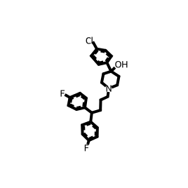 OC1(c2ccc(Cl)cc2)CCN(CCCC(c2ccc(F)cc2)c2ccc(F)cc2)CC1